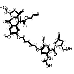 C=CCOC(=O)Nc1cc(OCCCCCOc2cc(NC(=O)O)c(C(=O)N3CC(=C)C[C@H]3CO)cc2OC)c(OC)cc1C(=O)N1CC(=C)C[C@H]1CO